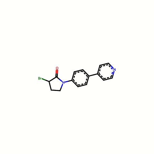 O=C1C(Br)CCN1c1ccc(-c2ccncc2)cc1